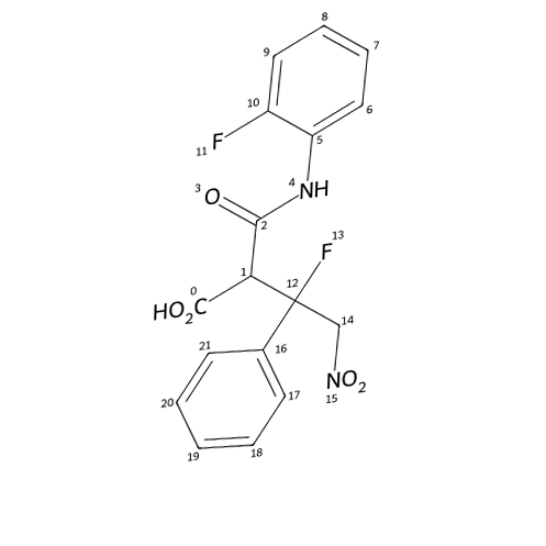 O=C(O)C(C(=O)Nc1ccccc1F)C(F)(C[N+](=O)[O-])c1ccccc1